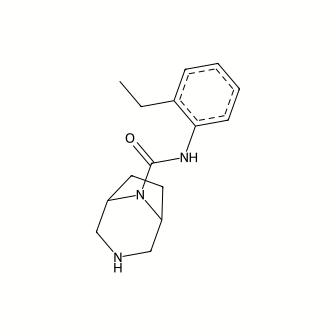 CCc1ccccc1NC(=O)N1C2CCC1CNC2